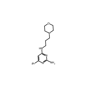 CC(C)c1cc(NCCCN2CCOCC2)nc(N)n1